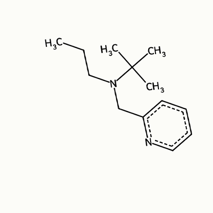 CCCN(Cc1ccccn1)C(C)(C)C